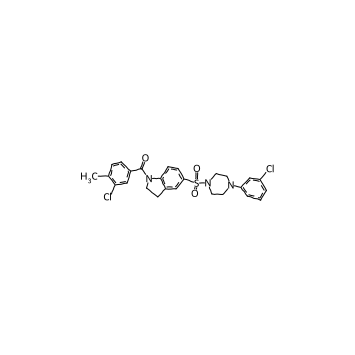 Cc1ccc(C(=O)N2CCc3cc(S(=O)(=O)N4CCN(c5cccc(Cl)c5)CC4)ccc32)cc1Cl